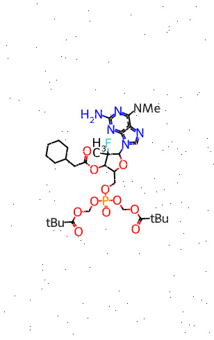 CNc1nc(N)nc2c1ncn2C1OC(COP(=O)(OCOC(=O)C(C)(C)C)OCOC(=O)C(C)(C)C)C(OC(=O)CC2CCCCC2)C1(C)F